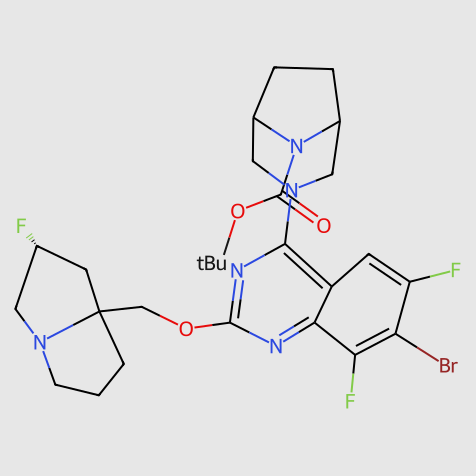 CC(C)(C)OC(=O)N1C2CCC1CN(c1nc(OCC34CCCN3C[C@H](F)C4)nc3c(F)c(Br)c(F)cc13)C2